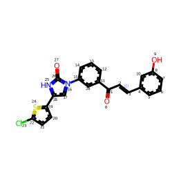 O=C(/C=C/c1cccc(O)c1)c1cccc(-n2cc(-c3ccc(Cl)s3)[nH]c2=O)c1